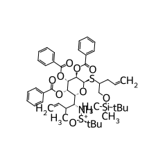 C=CCC(CO[Si](C)(C)C(C)(C)C)S[C@H]1O[C@H]([C@H](N[S@+]([O-])C(C)(C)C)C(C)C=C)[C@H](OC(=O)c2ccccc2)[C@H](OC(=O)c2ccccc2)[C@H]1OC(=O)c1ccccc1